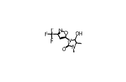 CC1C(O)N(c2cc(C(F)(F)F)no2)C(=O)N1C